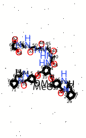 COc1cc2c(cc1OCc1cc(COc3cc4c(cc3OC)C(=O)N3c5ccccc5C[C@H]3CN4)cc(NC(=O)[C@H](C)NC(=O)[C@H](C)NC(=O)CCC(=O)NCCN3C(=O)C=CC3=O)c1)N=C[C@@H]1Cc3ccccc3N1C2=O